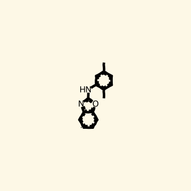 Cc1ccc(C)c(Nc2nc3c[c]ccc3o2)c1